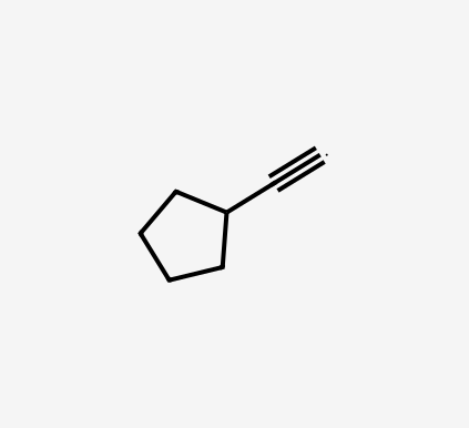 [C]#CC1CCCC1